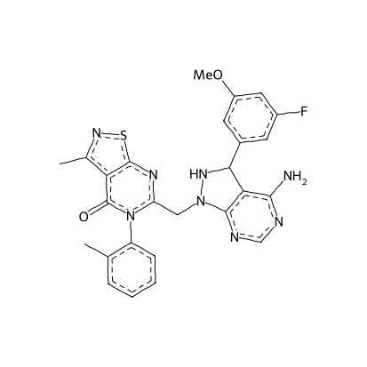 COc1cc(F)cc(C2NN(Cc3nc4snc(C)c4c(=O)n3-c3ccccc3C)c3ncnc(N)c32)c1